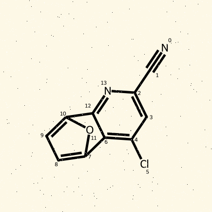 N#Cc1cc(Cl)c2c3ccc(o3)c2n1